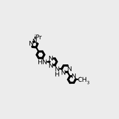 Cc1cccc(-c2nccc(Nc3ccnc(Nc4ccc(-c5cnn(C(C)C)c5)cc4)n3)n2)n1